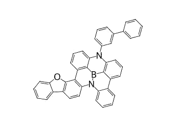 c1ccc(-c2cccc(N3c4cccc5c4B4c6c(cccc63)-c3c(ccc6c3oc3ccccc36)N4c3ccccc3-5)c2)cc1